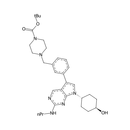 CCCNc1ncc2c(-c3cccc(CN4CCN(C(=O)OC(C)(C)C)CC4)c3)cn([C@H]3CC[C@H](O)CC3)c2n1